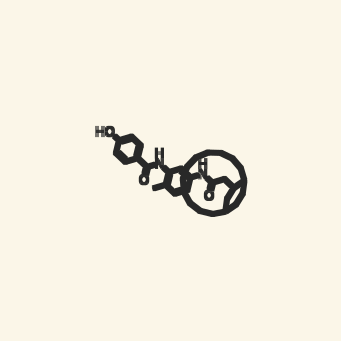 Cc1ccc(NC(=O)CC2CC3CCCCCCCCCCCC2CC3)cc1NC(=O)c1ccc(O)cc1